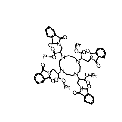 CC(C)OC(=O)C(CN1C(=O)c2ccccc2C1=O)N1CCN(C(CN2C(=O)c3ccccc3C2=O)C(=O)OC(C)C)CCN(C(CN2C(=O)c3ccccc3C2=O)C(=O)OC(C)C)CCN(C(CN2C(=O)c3ccccc3C2=O)C(=O)OC(C)C)CC1